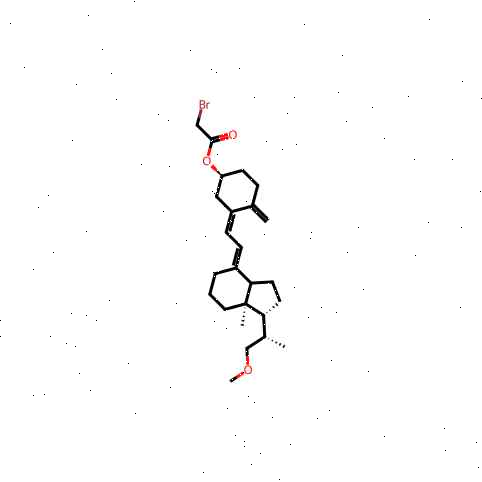 C=C1CC[C@H](OC(=O)CBr)C/C1=C/C=C1\CCC[C@@]2(C)C1CC[C@@H]2[C@H](C)COC